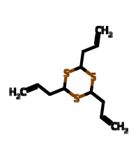 C=CCC1SC(CC=C)SC(CC=C)S1